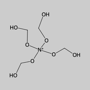 OCO[N+](OCO)(OCO)OCO